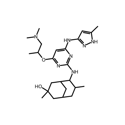 Cc1cc(Nc2cc(OC(C)CN(C)C)nc(NC3C(C)CC4CC3CC(C)(O)C4)n2)n[nH]1